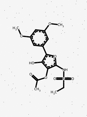 CCS(=O)(=O)Nc1oc(-c2cc(OC)cc(OC)c2)c(O)c1OC(C)=O